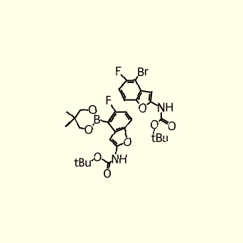 CC(C)(C)OC(=O)Nc1cc2c(Br)c(F)ccc2o1.CC1(C)COB(c2c(F)ccc3oc(NC(=O)OC(C)(C)C)cc23)OC1